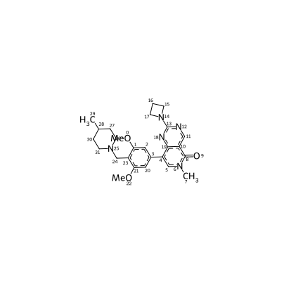 COc1cc(-c2cn(C)c(=O)c3cnc(N4CCC4)nc23)cc(OC)c1CN1CCC(C)CC1